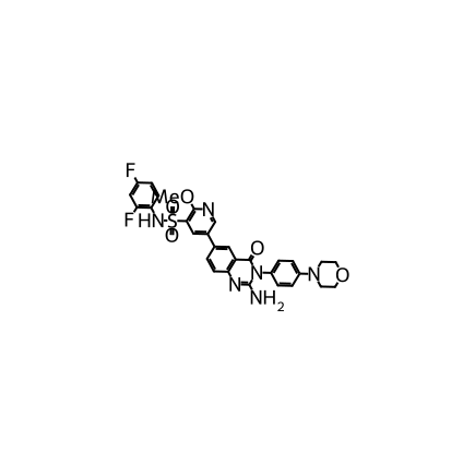 COc1ncc(-c2ccc3nc(N)n(-c4ccc(N5CCOCC5)cc4)c(=O)c3c2)cc1S(=O)(=O)Nc1ccc(F)cc1F